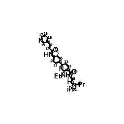 CCNc1nc(-c2ccc(NC(=O)/C=C/c3cccnc3)cc2)ccc1C(=O)NCCN(C(C)C)C(C)C